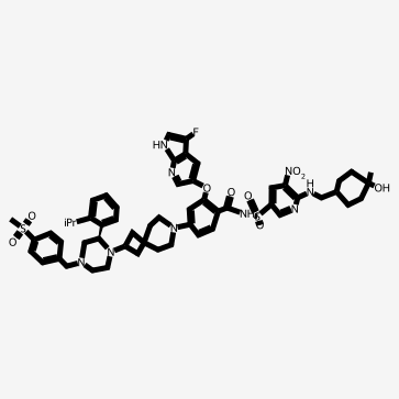 CC(C)c1ccccc1[C@@H]1CN(Cc2ccc(S(C)(=O)=O)cc2)CCN1C1CC2(CCN(c3ccc(C(=O)NS(=O)(=O)c4cnc(NCC5CCC(C)(O)CC5)c([N+](=O)[O-])c4)c(Oc4cnc5[nH]cc(F)c5c4)c3)CC2)C1